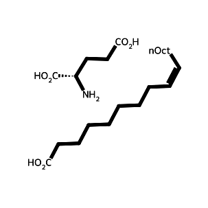 CCCCCCCC/C=C\CCCCCCCC(=O)O.N[C@@H](CCC(=O)O)C(=O)O